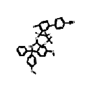 COc1ccc(C(NC2=N[C@](C)(c3cc(-c4ccc(C#N)cc4)ccc3F)C(F)(F)C(C)(C)OC2)(c2ccccc2)c2ccc(OC)cc2)cc1